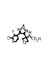 Cn1nc(-c2ccnc(Cl)c2F)c(C2(NC(=O)O)COC2)n1